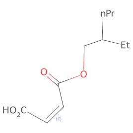 CCCC(CC)COC(=O)/C=C\C(=O)O